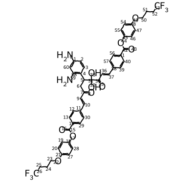 Nc1ccc(C(CC(=O)C=Cc2ccc(C(=O)Oc3ccc(OCCCC(F)(F)F)cc3)cc2)C(O)(O)C(=O)C=Cc2ccc(C(=O)Oc3ccc(OCCCC(F)(F)F)cc3)cc2)c(N)c1